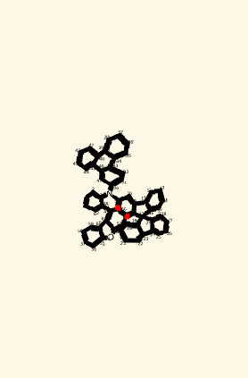 c1ccc(N(c2ccc3c(c2)-c2ccccc2C32c3ccccc3-c3ccccc32)c2ccc3c4ccccc4c4ccccc4c3c2)c(-c2cccc3oc4ccccc4c23)c1